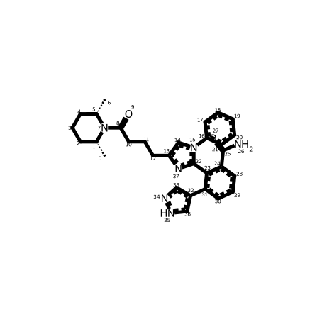 C[C@@H]1CCC[C@H](C)N1C(=O)CCCc1cn(-c2ccccc2)c(-c2c(C(N)=O)cccc2-c2cn[nH]c2)n1